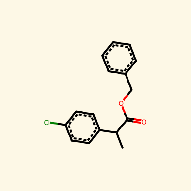 CC(C(=O)OCc1ccccc1)c1ccc(Cl)cc1